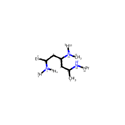 [3H]N([3H])C(CC)CC(CC(C)NCCC)N([3H])C